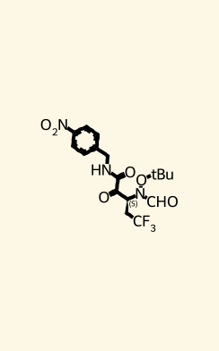 CC(C)(C)ON(C=O)[C@@H](CC(F)(F)F)C(=O)C(=O)NCc1ccc([N+](=O)[O-])cc1